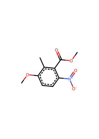 COC(=O)c1c([N+](=O)[O-])ccc(OC)c1C